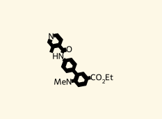 CCOC(=O)c1ccc(NC)c(-c2ccc(NC(=O)c3ccncc3C)cc2)c1